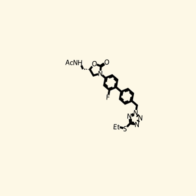 CCSc1nnn(Cc2ccc(-c3ccc(N4C[C@H](CNC(C)=O)OC4=O)cc3F)cc2)n1